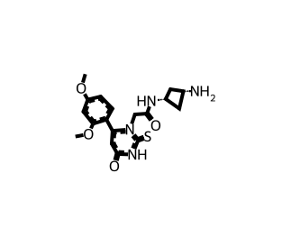 COc1ccc(-c2cc(=O)[nH]c(=S)n2CC(=O)N[C@H]2C[C@@H](N)C2)c(OC)c1